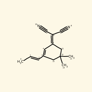 C/C=C/C1=CC(=C(C#N)C#N)CC(C)(C)C1